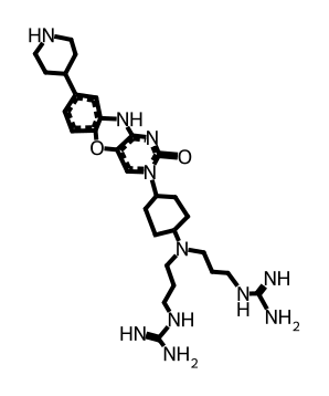 N=C(N)NCCCN(CCCNC(=N)N)C1CCC(n2cc3c(nc2=O)Nc2cc(C4CCNCC4)ccc2O3)CC1